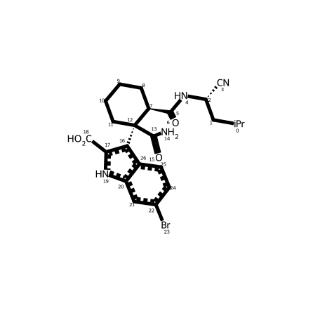 CC(C)C[C@@H](C#N)NC(=O)[C@@H]1CCCC[C@@]1(C(N)=O)c1c(C(=O)O)[nH]c2cc(Br)ccc12